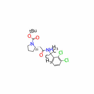 CC(C)(C)OC(=O)N1CCC[C@H]1CC(=O)NC(C)(C)c1cccc(Cl)c1Cl